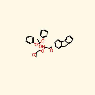 C(OCC1CO1)C1CO1.CC(O)(Oc1ccccc1)Oc1ccccc1.c1ccc2c(c1)Cc1ccccc1-2